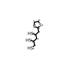 SCC(S)CC(S)CC1SCCS1